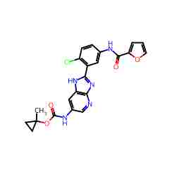 CC1(OC(=O)Nc2cnc3nc(-c4cc(NC(=O)c5ccco5)ccc4Cl)[nH]c3c2)CC1